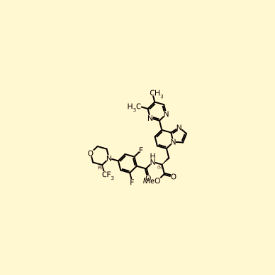 COC(=O)[C@H](Cc1ccc(-c2ncc(C)c(C)n2)c2nccn12)NC(=O)c1c(F)cc(N2CCOC[C@@H]2C(F)(F)F)cc1F